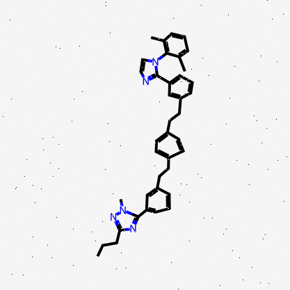 CCCc1nc(-c2cccc(CCc3ccc(CCc4cccc(-c5nccn5-c5c(C)cccc5C)c4)cc3)c2)n(C)n1